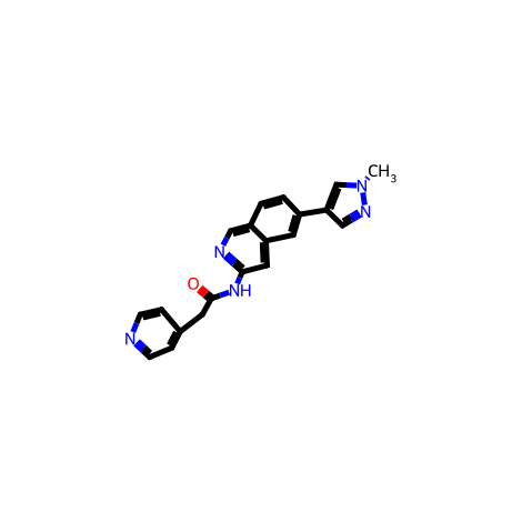 Cn1cc(-c2ccc3cnc(NC(=O)Cc4ccncc4)cc3c2)cn1